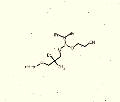 CCCCCCCOCC(C)(CC)COP(OCCC#N)N(C(C)C)C(C)C